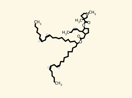 CC/C=C\CC1C(CC(=O)OC(CCCCCCCC/C=C\C/C=C\CCCCC)CCCCCCCC/C=C\C/C=C\CCCCC)CCC1OC(=O)C1(C)CCN(C)C1